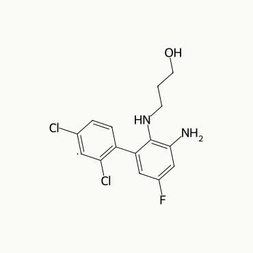 Nc1cc(F)cc(-c2ccc(Cl)[c]c2Cl)c1NCCCO